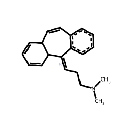 CN(C)CC/C=C1\c2ccccc2C=CC2C=CC=CC12